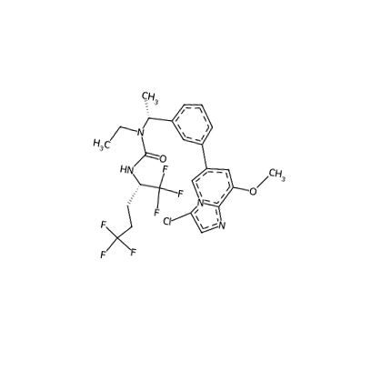 CCN(C(=O)N[C@@H](CCC(F)(F)F)C(F)(F)F)[C@H](C)c1cccc(-c2cc(OC)c3ncc(Cl)n3c2)c1